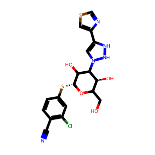 N#Cc1ccc(S[C@H]2OC(CO)[C@H](O)C(N3C=C(c4cscn4)NN3)C2O)cc1Cl